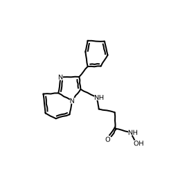 O=C(CCNc1c(-c2ccccc2)nc2ccccn12)NO